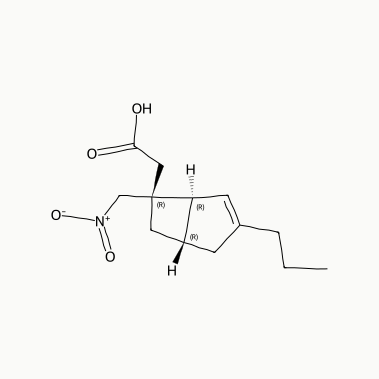 CCCC1=C[C@H]2[C@H](C1)C[C@]2(CC(=O)O)C[N+](=O)[O-]